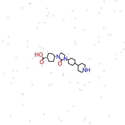 O=C1N(C2CCC(C3CCNCC3)CC2)CCN1[C@H]1CC[C@H](C(=O)O)CC1